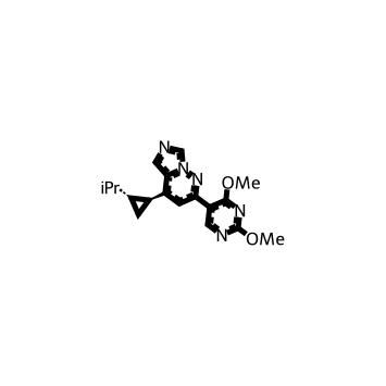 COc1ncc(-c2cc([C@H]3C[C@@H]3C(C)C)c3cncn3n2)c(OC)n1